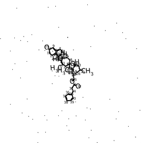 CC1=C2C[C@H]3[C@@H](CCC4=CC(=O)CC[C@@]43C)[C@@H]2CC[C@@]2(C1)O[C@@H]1CC(C)CN(CCOC(=O)CCc3ccccc3)[C@H]1[C@H]2C